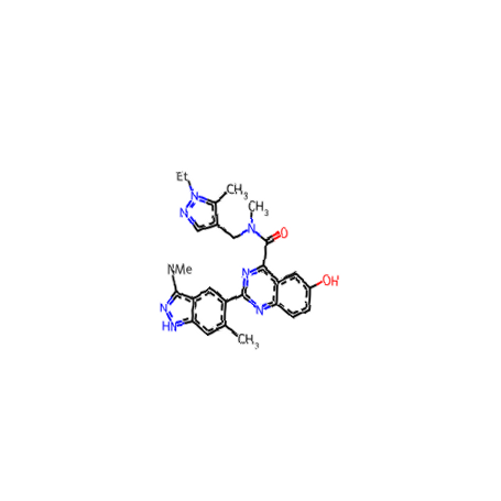 CCn1ncc(CN(C)C(=O)c2nc(-c3cc4c(NC)n[nH]c4cc3C)nc3ccc(O)cc23)c1C